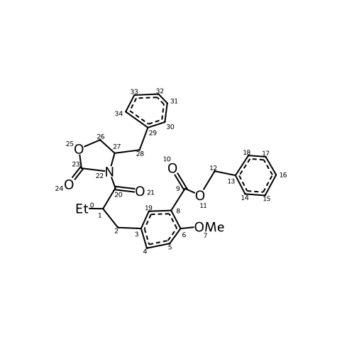 CCC(Cc1ccc(OC)c(C(=O)OCc2ccccc2)c1)C(=O)N1C(=O)OCC1Cc1ccccc1